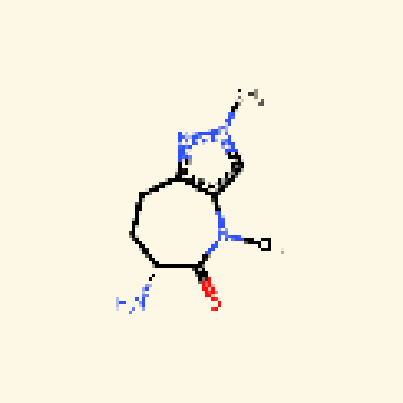 CN1C(=O)[C@H](N)CCc2nn(C)cc21